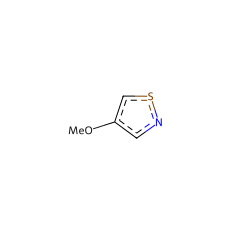 COc1cnsc1